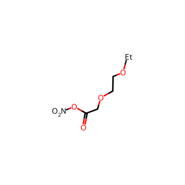 CCOCCOCC(=O)O[N+](=O)[O-]